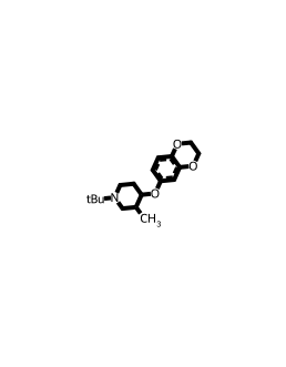 CC1CN(C(C)(C)C)CCC1Oc1ccc2c(c1)OCCO2